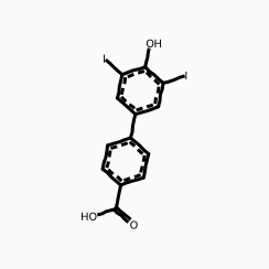 O=C(O)c1ccc(-c2cc(I)c(O)c(I)c2)cc1